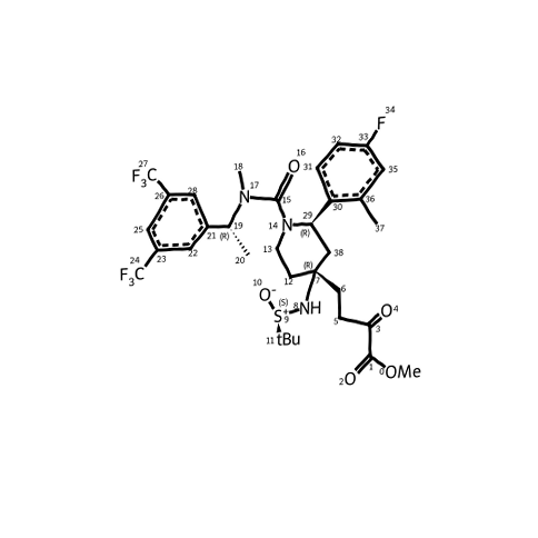 COC(=O)C(=O)CC[C@@]1(N[S@+]([O-])C(C)(C)C)CCN(C(=O)N(C)[C@H](C)c2cc(C(F)(F)F)cc(C(F)(F)F)c2)[C@@H](c2ccc(F)cc2C)C1